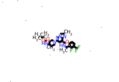 C[C@@H]1CN2N=C(N3CCC(C)(NC(=O)OC(C)(C)C)CC3)C=C(C(=O)N[C@H](C)c3cccc(C(F)F)c3F)C2=N1